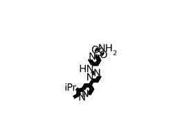 Cc1nn2ccc(-c3ccnc(Nc4ccc(S(N)(=O)=O)nc4)n3)cc2c1C(C)C